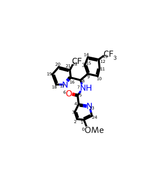 COc1ccc(C(=O)NC(c2ccc(C(F)(F)F)cc2)c2ncccc2C(F)(F)F)nc1